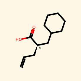 C=CC[C@H](CC1CCCCC1)C(=O)O